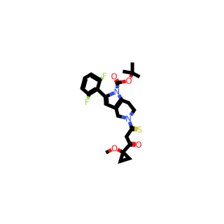 COC1(C(=O)CC(=S)N2CCc3c(cc(-c4c(F)cccc4F)n3C(=O)OC(C)(C)C)C2)CC1